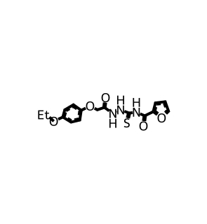 CCOc1ccc(OCC(=O)NNC(=S)NC(=O)c2ccco2)cc1